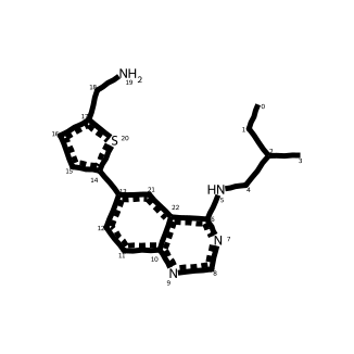 CCC(C)CNc1ncnc2ccc(-c3ccc(CN)s3)cc12